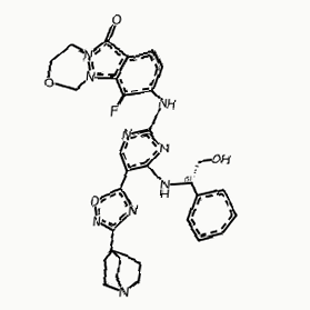 O=c1c2ccc(Nc3ncc(-c4nc(C56CCN(CC5)CC6)no4)c(N[C@H](CO)c4ccccc4)n3)c(F)c2n2n1CCOC2